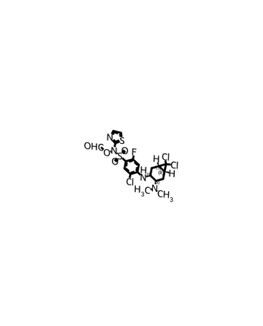 CN(C)[C@H]1C[C@@H]2[C@H](C[C@@H]1Nc1cc(F)c(S(=O)(=O)N(OC=O)c3nccs3)cc1Cl)C2(Cl)Cl